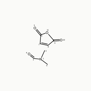 CN(C)C=O.O=C1C=CC(=O)O1